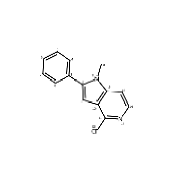 Cn1c(-c2ccccc2)cc2c(Cl)nccc21